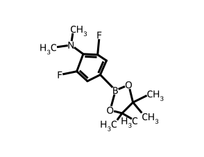 CN(C)c1c(F)cc(B2OC(C)(C)C(C)(C)O2)cc1F